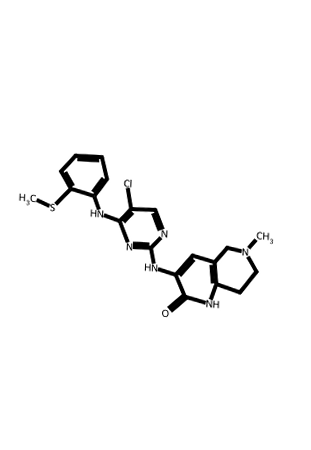 CSc1ccccc1Nc1nc(Nc2cc3c([nH]c2=O)CCN(C)C3)ncc1Cl